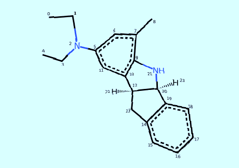 CCN(CC)c1cc(C)c2c(c1)[C@@H]1Cc3ccccc3[C@@H]1N2